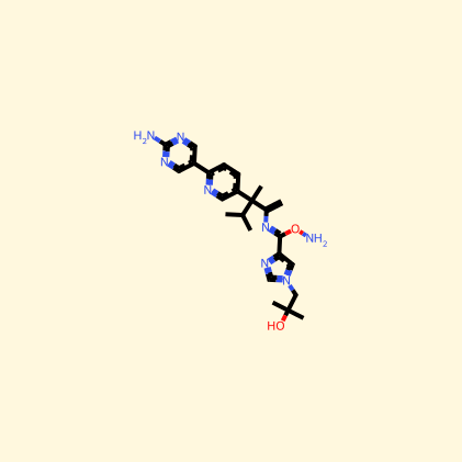 C=C(/N=C(\ON)c1cn(CC(C)(C)O)cn1)C(C)(c1ccc(-c2cnc(N)nc2)nc1)C(C)C